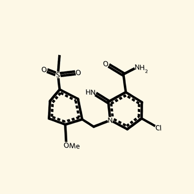 COc1ccc(S(C)(=O)=O)cc1Cn1cc(Cl)cc(C(N)=O)c1=N